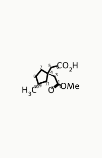 COC(=O)C[C@]1(CC(=O)O)CC[C@@H](C)C1